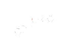 O=C(CCC=Cc1ccccc1)CCC=Cc1ccccc1